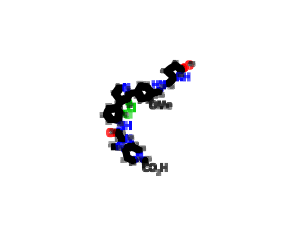 COc1cc(-c2nccc(-c3cccc(NC(=O)c4nc5c(n4C)CCN(CC(=O)O)C5)c3Cl)c2Cl)ccc1CNCC1CCC(=O)N1